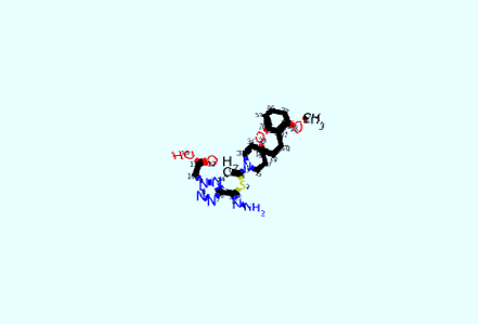 C=C(S/C(=N\N)c1nnn(CC(=O)O)n1)N1CCC2(CCc3c(OC)cccc3O2)CC1